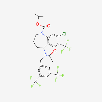 CC(=O)N(Cc1cc(C(F)(F)F)cc(C(F)(F)F)c1)C1CCCN(C(=O)OC(C)C)c2cc(Cl)c(C(F)(F)F)cc21